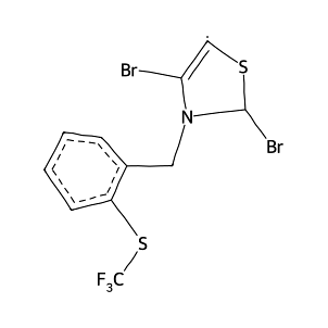 FC(F)(F)Sc1ccccc1CN1C(Br)=[C]SC1Br